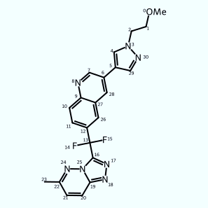 COCCn1cc(-c2cnc3ccc(C(F)(F)c4nnc5ccc(C)nn45)cc3c2)cn1